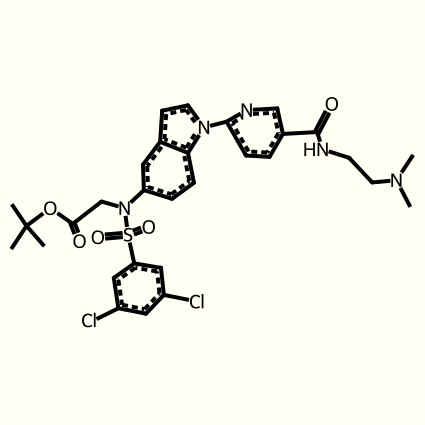 CN(C)CCNC(=O)c1ccc(-n2ccc3cc(N(CC(=O)OC(C)(C)C)S(=O)(=O)c4cc(Cl)cc(Cl)c4)ccc32)nc1